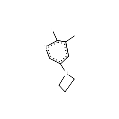 Cc1cc(N2CCC2)cnc1C(C)C